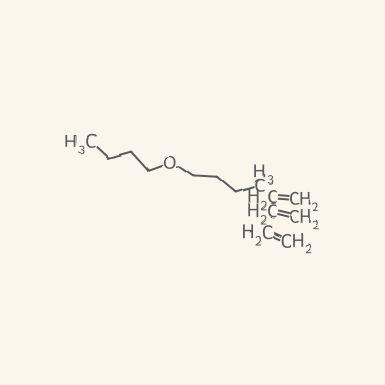 C=C.C=C.C=C.CCCCOCCCC